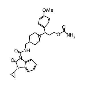 COc1ccc(C(CCOC(N)=O)N2CCC(CNC(=O)n3c(=O)n(C4CC4)c4ccccc43)CC2)cc1